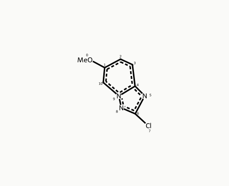 COc1ccc2nc(Cl)nn2c1